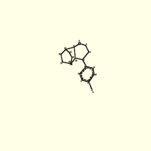 Ic1ccc(C2CCOC3C4CCN(CC4)C23)cc1